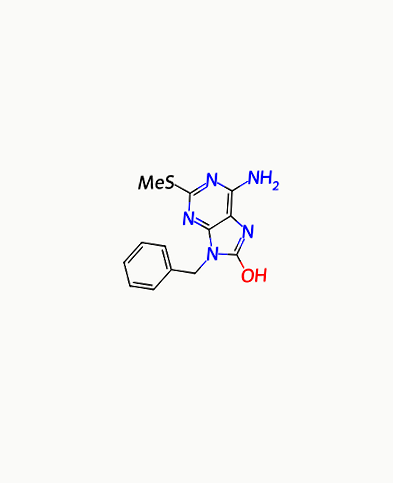 CSc1nc(N)c2nc(O)n(Cc3ccccc3)c2n1